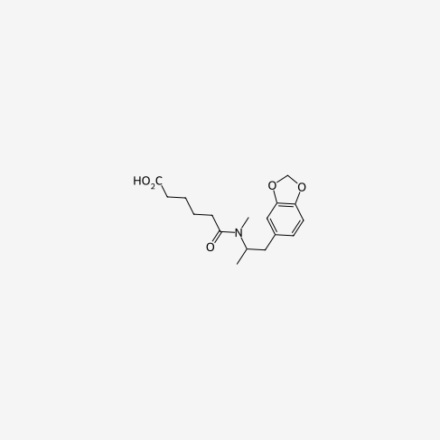 CC(Cc1ccc2c(c1)OCO2)N(C)C(=O)CCCCC(=O)O